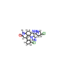 Cn1cncc1C(N)(c1ccc2c(c1)c(-c1cccc(Cl)c1)cc(=O)n2C)c1ccc(Cl)cn1